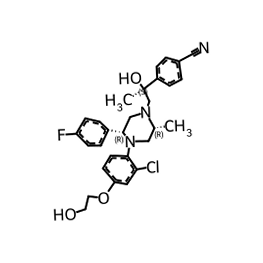 C[C@@H]1CN(c2ccc(OCCO)cc2Cl)[C@H](c2ccc(F)cc2)CN1C[C@@](C)(O)c1ccc(C#N)cc1